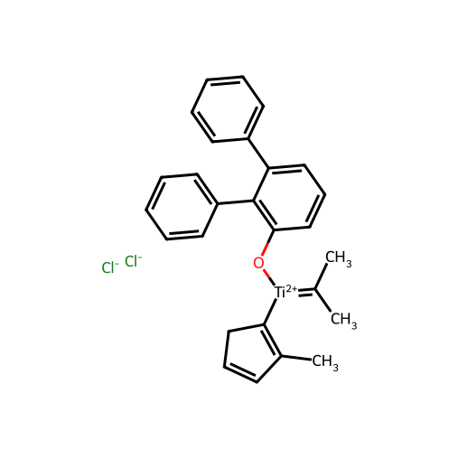 CC1=[C]([Ti+2]([O]c2cccc(-c3ccccc3)c2-c2ccccc2)=[C](C)C)CC=C1.[Cl-].[Cl-]